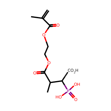 C=C(C)C(=O)OCCOC(=O)C(C)C(C(=O)O)P(=O)(O)O